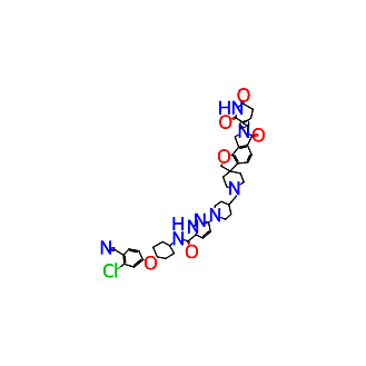 N#Cc1ccc(OC2CCC(NC(=O)c3ccc(N4CCC(CN5CCC6(CC5)COc5c6ccc6c5CN([C@H]5CCC(=O)NC5=O)C6=O)CC4)nn3)CC2)cc1Cl